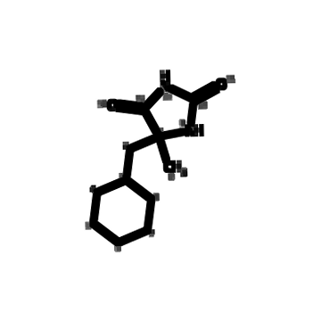 CC1(CC2CCCCC2)NC(=O)NC1=O